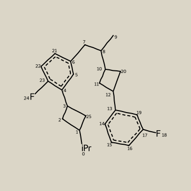 CC(C)C1CC(c2cc(CC(C)C3CC(c4cccc(F)c4)C3)ccc2F)C1